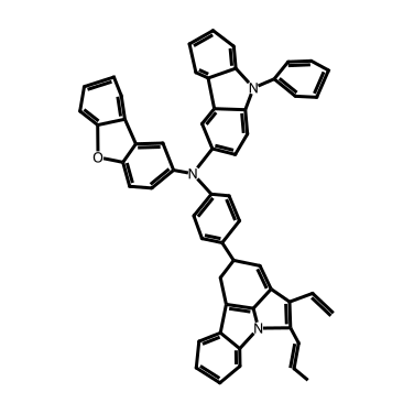 C=Cc1c(C=CC)n2c3c(c4ccccc42)CC(c2ccc(N(c4ccc5oc6ccccc6c5c4)c4ccc5c(c4)c4ccccc4n5-c4ccccc4)cc2)C=c13